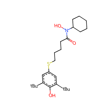 CC(C)(C)c1cc(SCCCCC(=O)N(O)C2CCCCC2)cc(C(C)(C)C)c1O